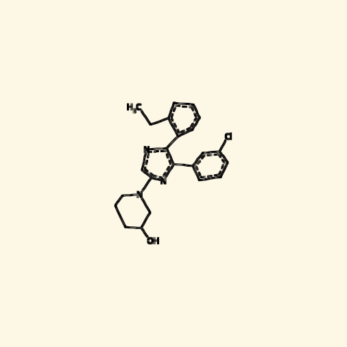 CCc1ccccc1-c1ncc(N2CCCC(O)C2)nc1-c1cccc(Cl)c1